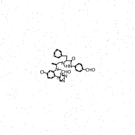 C=C(CN(C)C(Cc1ccccc1)C(=O)Nc1ccc(C=O)cc1)N(CC=O)c1cc(Cl)ccc1-n1cnnn1